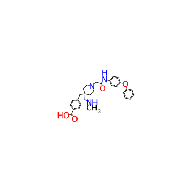 CNCC1(Cc2ccc(C(=O)O)cc2)CCN(CC(=O)Nc2ccc(Oc3ccccc3)cc2)CC1